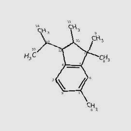 Cc1[c]cc2c(c1)C(C)(C)C(C)C2C(C)C